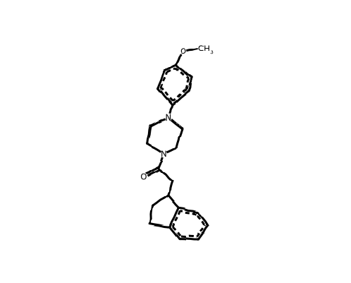 COc1ccc(N2CCN(C(=O)CC3CCc4ccccc43)CC2)cc1